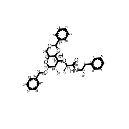 C[C@@H](Cc1ccccc1)NC(=O)[C@@H](C)OC1[C@@H]2OC(c3ccccc3)OCC2O[C@@H](OCc2ccccc2)[C@H]1C